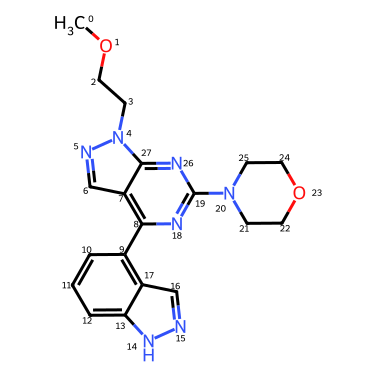 COCCn1ncc2c(-c3cccc4[nH]ncc34)nc(N3CCOCC3)nc21